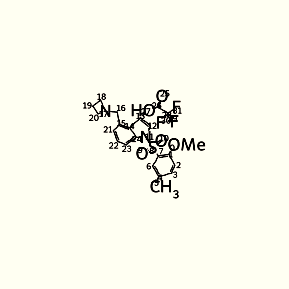 COc1ccc(C)cc1S(=O)(=O)n1ccc2c(CN3CCC3)cccc21.O=C(O)C(F)(F)F